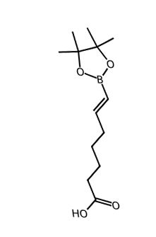 CC1(C)OB(C=CCCCCC(=O)O)OC1(C)C